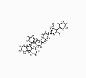 Cc1nc(-c2ccc3c(c2)oc2cc(-c4cccc5c6ccccc6n(-c6ccccc6)c45)ccc23)nc(C)c1-c1ccccc1